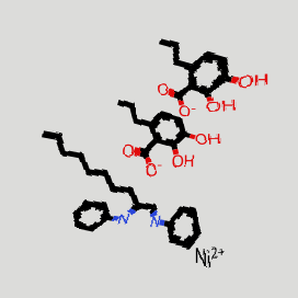 CCCCCCCCC(C=Nc1ccccc1)=Nc1ccccc1.CCCc1ccc(O)c(O)c1C(=O)[O-].CCCc1ccc(O)c(O)c1C(=O)[O-].[Ni+2]